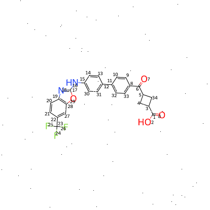 O=C(O)C1CC(C(=O)c2ccc(-c3ccc(Nc4nc5ccc(C(F)(F)F)cc5o4)cc3)cc2)C1